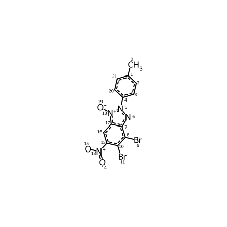 Cc1ccc(-n2nc3c(Br)c(Br)c([N+](=O)[O-])cc3[n+]2[O-])cc1